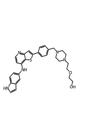 OCCOCCN1CCN(Cc2ccc(-c3cc4nccc(Nc5ccc6[nH]ccc6c5)c4s3)cc2)CC1